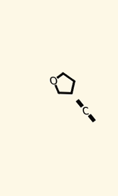 C1CCOC1.C=C=C